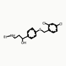 CCNCCC(O)c1ccc(SCc2ccc(Cl)cc2Cl)cc1